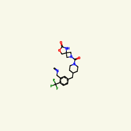 C=NCc1cc(CC2CCN(C(=O)N3CC4(COC(=O)N4)C3)CC2)ccc1C(F)(F)F